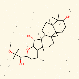 CCOC(C)(C)[C@H](O)C1C[C@@H](C)C2C(O1)[C@H](O)[C@@]1(C)C3CC[C@H]4C(C)(C)C(O)CCC45CC35CCC21C